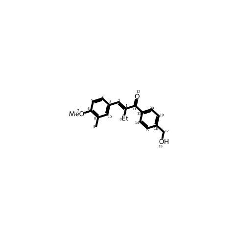 CC/C(=C\c1ccc(OC)c(C)c1)C(=O)c1ccc(CO)cc1